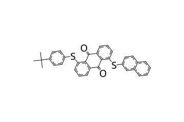 CC(C)(C)c1ccc(Sc2cccc3c2C(=O)c2cccc(Sc4ccc5ccccc5c4)c2C3=O)cc1